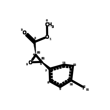 COC(=O)[C@H]1O[C@@H]1c1ccc(F)cc1